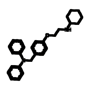 c1ccc(N(Cc2ccc(OCCNC3CCCCC3)cc2)c2ccccc2)cc1